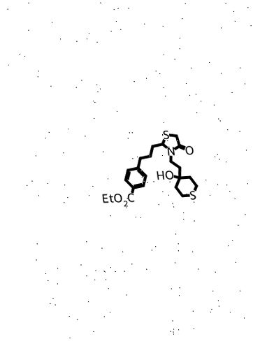 CCOC(=O)c1ccc(CCCC2SCC(=O)N2CCC2(O)CCSCC2)cc1